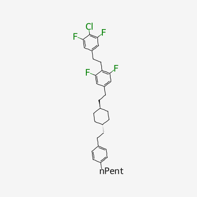 CCCCCc1ccc(CC[C@H]2CC[C@H](CCc3cc(F)c(CCc4cc(F)c(Cl)c(F)c4)c(F)c3)CC2)cc1